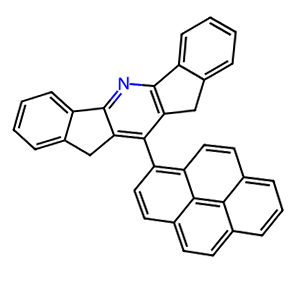 c1ccc2c(c1)Cc1c-2nc2c(c1-c1ccc3ccc4cccc5ccc1c3c45)Cc1ccccc1-2